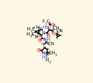 C[C@@H](OC1(C#N)CC1)[C@H](NC(=O)C(F)(F)F)C(=O)N1C[C@H]2[C@@H]([C@H]1C(=O)N[C@H](C#N)C[C@@H]1CC(C)(C)NC1=O)C2(C)C